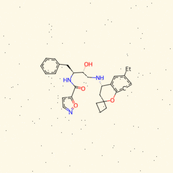 CCc1ccc2c(c1)[C@@H](NC[C@@H](O)[C@H](Cc1ccccc1)NC(=O)c1ccno1)CC1(CCC1)O2